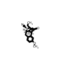 CCC1CC(=O)C[C@]23CCN(C#N)[C@H](Cc4ccc(OC)cc42)[C@H]13